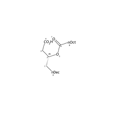 CCCCCCCCCCC[C@H](CC(=O)O)OC(=O)CCCCCCCC